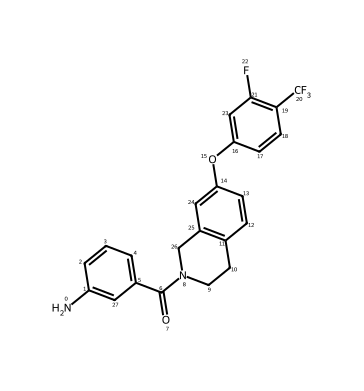 Nc1cccc(C(=O)N2CCc3ccc(Oc4ccc(C(F)(F)F)c(F)c4)cc3C2)c1